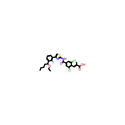 CCCCC(OCC)c1cccc(-c2csc(NC(=O)c3cc(Cl)c(C=C(C)C(=O)O)c(Cl)c3)n2)c1F